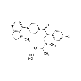 CC(C)N(C)CC(C(=O)N1CCN(c2ncnc3c2[C@H](C)CC3)CC1)c1ccc(Cl)cc1.Cl.Cl